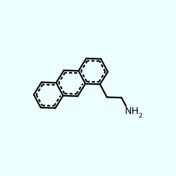 NCCc1cccc2cc3ccccc3cc12